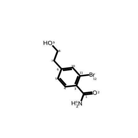 NC(=O)c1ccc(CCO)cc1Br